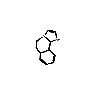 C1=CC2CCN3C=CNC3C2C=C1